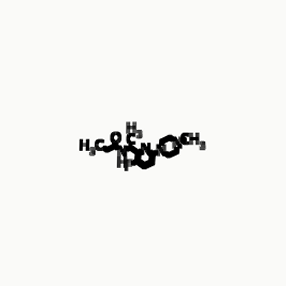 CCC(=O)N[C@H](C)c1nc(N2CCN(C)CC2)ccc1F